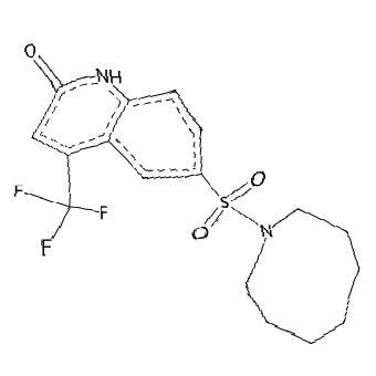 O=c1cc(C(F)(F)F)c2cc(S(=O)(=O)N3CCCCCCC3)ccc2[nH]1